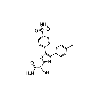 NC(=O)N(O)c1nc(-c2ccc(F)cc2)c(-c2ccc(S(N)(=O)=O)cc2)o1